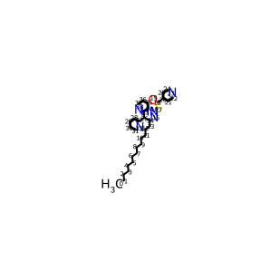 CCCCCCCCCCCCCCC(=NNSC(=O)c1ccncc1)C(c1ccccn1)c1ccccn1